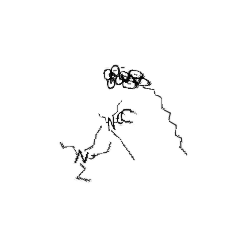 CCCCCCCCCCCC[O][W](=[O])(=[O])[O]OP(=O)([O-])[O-].CCCC[N+](CCCC)(CCCC)CCCC.CCCC[N+](CCCC)(CCCC)CCCC